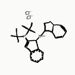 CC(C)(C)P(C1=Cc2ccccc2[CH]1[Zr+2][CH]1CCC2C=CC=CC21)C(C)(C)C.[Cl-].[Cl-]